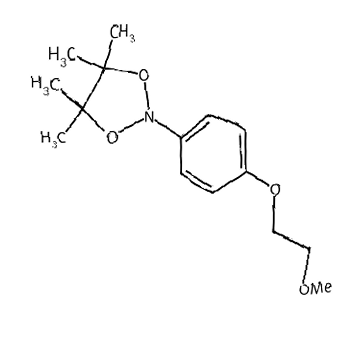 COCCOc1ccc(N2OC(C)(C)C(C)(C)O2)cc1